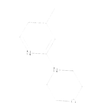 CC1C=C(N2CCOCC2)N=CC1